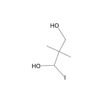 CC(C)(CO)C(O)I